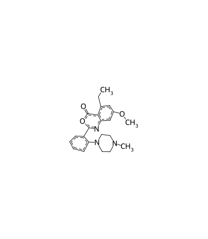 CCc1cc(OC)cc2nc(-c3ccccc3N3CCN(C)CC3)oc(=O)c12